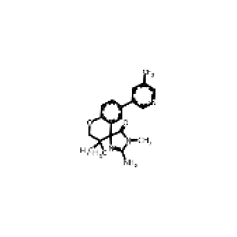 CN1C(=O)C2(N=C1N)c1cc(-c3cncc(C(F)(F)F)c3)ccc1OCC2(C)C